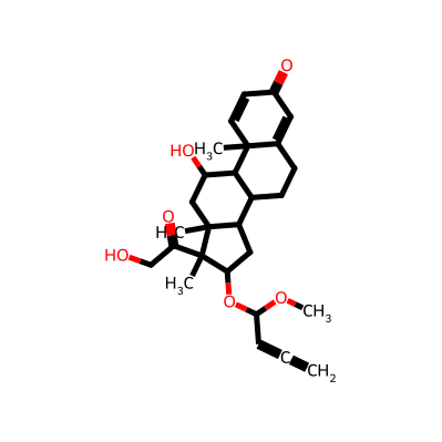 C=C=CC(OC)OC1CC2C3CCC4=CC(=O)C=CC4(C)C3C(O)CC2(C)C1(C)C(=O)CO